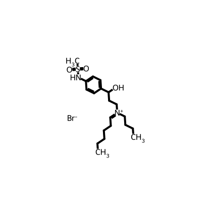 CCCCCC=[N+](CCCC)CCC(O)c1ccc(NS(C)(=O)=O)cc1.[Br-]